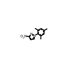 Cc1cc(C)c(-n2ccc([N+](=O)[O-])n2)c(C)c1